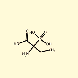 CCC(N)(C(=O)O)P(=O)(O)O